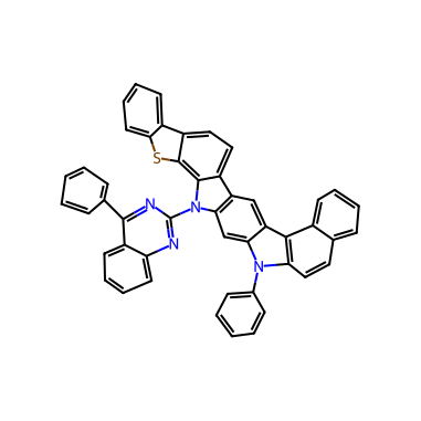 c1ccc(-c2nc(-n3c4cc5c(cc4c4ccc6c7ccccc7sc6c43)c3c4ccccc4ccc3n5-c3ccccc3)nc3ccccc23)cc1